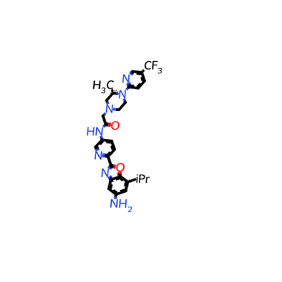 CC(C)c1cc(N)cc2nc(-c3ccc(NC(=O)CN4CCN(c5ccc(C(F)(F)F)cn5)[C@H](C)C4)cn3)oc12